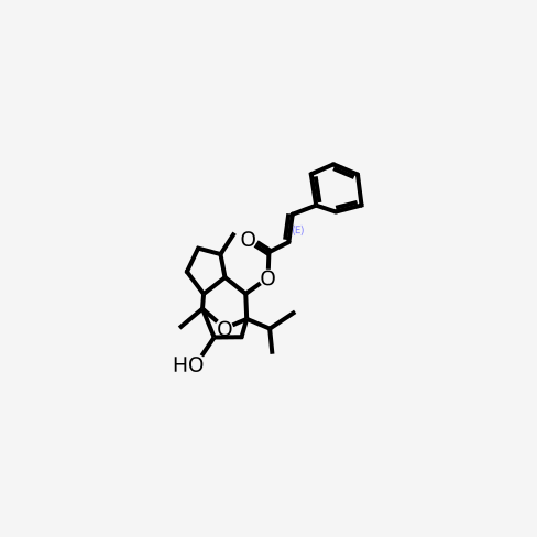 CC1CCC2C1C(OC(=O)/C=C/c1ccccc1)C1(C(C)C)CC(O)C2(C)O1